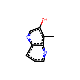 Cc1c(O)cnc2cccnc12